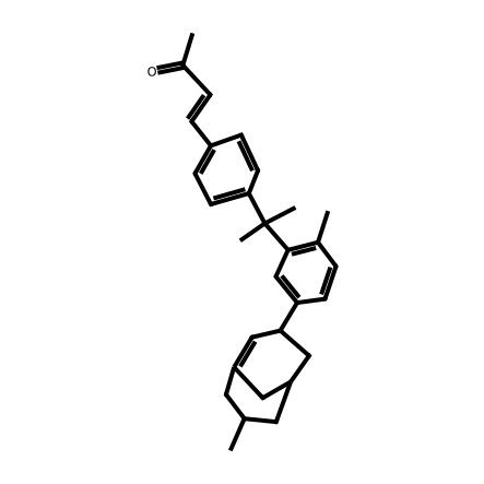 CC(=O)/C=C/c1ccc(C(C)(C)c2cc(C3C=C4CC(C)CC(C4)C3)ccc2C)cc1